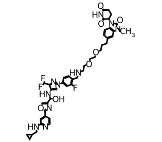 Cn1c(=O)n(C2CCC(=O)NC2=O)c2ccc(CCCOCCOCCNCc3ccc(-n4cc(NC(O)c5coc(-c6ccnc(NCC7CC7)c6)n5)c(C(F)F)n4)cc3F)cc21